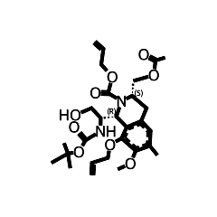 C=CCOC(=O)N1[C@H](COC(C)=O)Cc2cc(C)c(OC)c(OCC=C)c2[C@@H]1C(CO)NC(=O)OC(C)(C)C